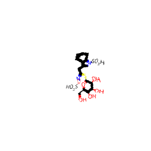 O=S(=O)(O)ON=C(Cc1cn(S(=O)(=O)O)c2ccccc12)S[C@@H]1O[C@H](CO)[C@@H](O)[C@H](O)[C@H]1O